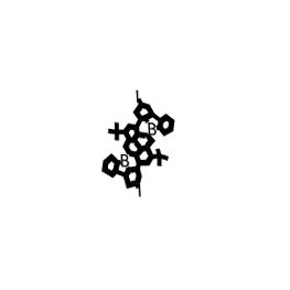 CC(C)(C)c1cc2c3c(cc4c(C(C)(C)C)cc5c6c(cc1c3c46)B1c3ccccc3-c3cc(I)cc-5c31)B1c3ccccc3-c3cc(I)cc-2c31